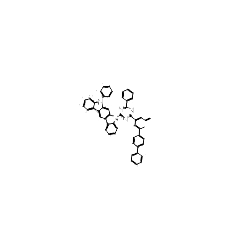 C=C/C=C(\C=C(/C)c1ccc(-c2ccccc2)cc1)c1nc(-c2ccccc2)nc(-n2c3ccccc3c3cc4c5ccccc5n(-c5ccccc5)c4cc32)n1